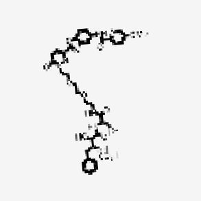 COc1ccc(C(=O)Nc2ccc3oc(-c4ccc(=O)n(CCOCCOCCNC(=O)C(CC(C)C)NC(=O)C(O)C(Cc5ccccc5)NC(=O)O)n4)nc3c2)nc1